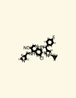 N#Cc1cnc2c(N[C@@H](c3ccc(F)cc3)c3cn(C4CC4)nn3)cc(Cl)cc2c1NCc1cncs1